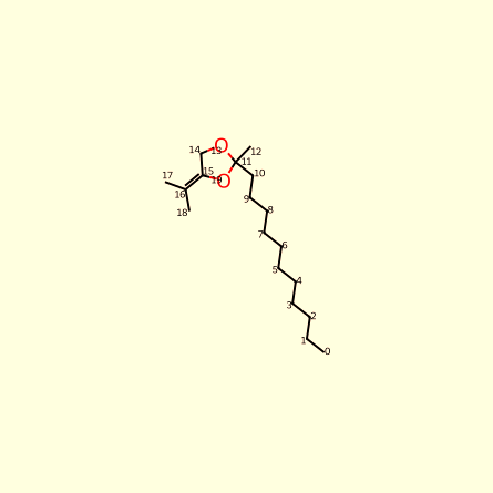 CCCCCCCCCCCC1(C)OCC(=C(C)C)O1